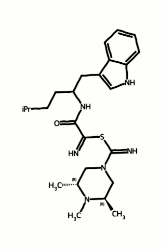 CC(C)CCC(Cc1c[nH]c2ccccc12)NC(=O)C(=N)SC(=N)N1C[C@@H](C)N(C)[C@H](C)C1